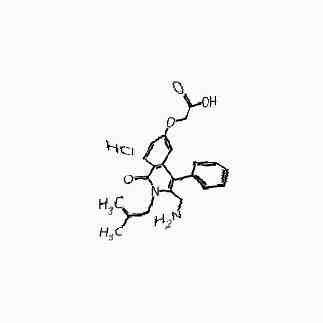 CC(C)Cn1c(CN)c(-c2ccccc2)c2cc(OCC(=O)O)ccc2c1=O.Cl